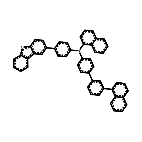 c1cc(-c2ccc(N(c3ccc(-c4ccc5oc6ccccc6c5c4)cc3)c3cccc4ccccc34)cc2)cc(-c2cccc3ccccc23)c1